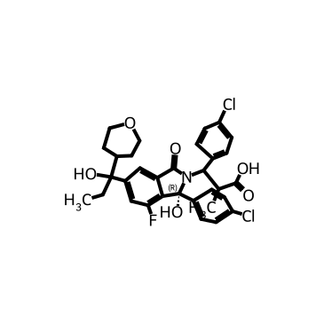 CCC(O)(c1cc(F)c2c(c1)C(=O)N(C(c1ccc(Cl)cc1)C(C)C(=O)O)[C@@]2(O)c1ccc(Cl)cc1)C1CCOCC1